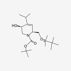 CC(C)C1=C[C@@H](CO[Si](C)(C)C(C)(C)C)N(C(=O)OC(C)(C)C)C[C@H]1O